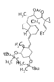 C=C1C(=CC=C2CCC[C@]3(C)[C@@H]([C@H](C)C(CC(=O)C4(C=CCC)CC4)OC(C)=O)CC[C@@H]23)CC(O[Si](C)(C)C(C)(C)C)CC1O[Si](C)(C)C(C)(C)C